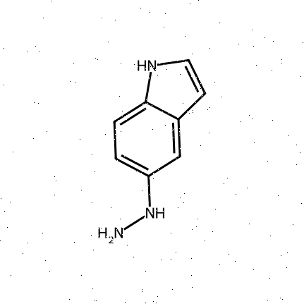 NNc1ccc2[nH]ccc2c1